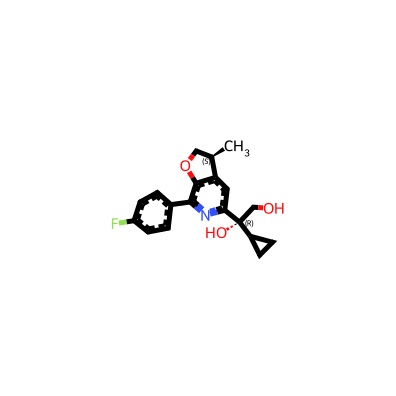 C[C@@H]1COc2c1cc([C@@](O)(CO)C1CC1)nc2-c1ccc(F)cc1